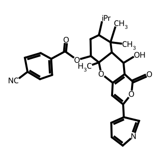 CC(C)C1CC(OC(=O)c2ccc(C#N)cc2)C2(C)Oc3cc(-c4cccnc4)oc(=O)c3C(O)C2C1(C)C